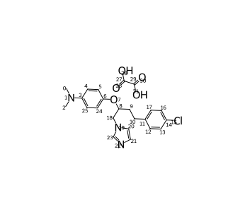 CN(C)c1ccc(OC(CCc2ccc(Cl)cc2)Cn2ccnc2)cc1.O=C(O)C(=O)O